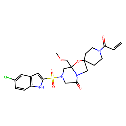 C=CC(=O)N1CCC2(CC1)CN1C(=O)CN(S(=O)(=O)c3cc4cc(Cl)ccc4[nH]3)CC1(COC)O2